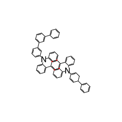 C1=CC(c2ccccc2)CC=C1N(c1ccccc1)c1ccccc1-c1ccc(-c2ccccc2N(c2ccccc2)c2cccc(-c3cccc(-c4ccccc4)c3)c2)cc1